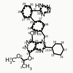 COC(C)Oc1nnc(O)c2c1nc(C1CCCCC1)n2Cc1ccc(-c2ccccc2-c2nnn[nH]2)cc1